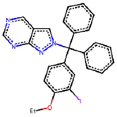 CCOc1ccc(C(c2ccccc2)(c2ccccc2)n2cc3cncnc3n2)cc1I